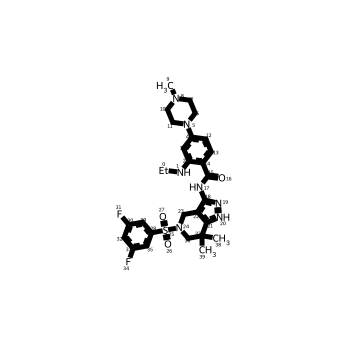 CCNc1cc(N2CCN(C)CC2)ccc1C(=O)Nc1n[nH]c2c1CN(S(=O)(=O)c1cc(F)cc(F)c1)CC2(C)C